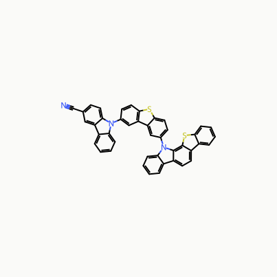 N#Cc1ccc2c(c1)c1ccccc1n2-c1ccc2sc3ccc(-n4c5ccccc5c5ccc6c7ccccc7sc6c54)cc3c2c1